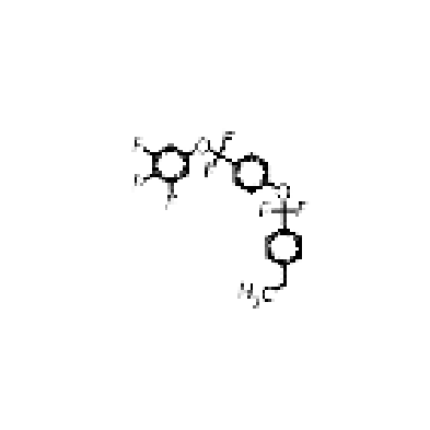 CCc1ccc(C(F)(F)Oc2ccc(C(F)(F)Oc3cc(F)c(F)c(F)c3)cc2)cc1